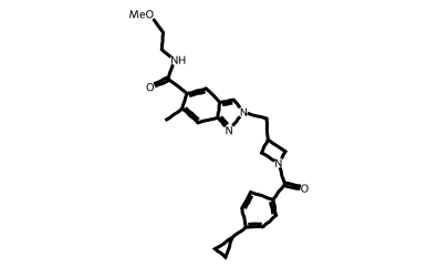 COCCNC(=O)c1cc2cn(CC3CN(C(=O)c4ccc(C5CC5)cc4)C3)nc2cc1C